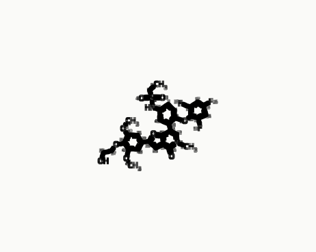 CCS(=O)(=O)Nc1ccc(Oc2c(F)cc(F)cc2F)c(-c2cn(C)c(=O)c3cc(-c4cc(OC)c(OCCO)c(OC)c4)oc23)c1